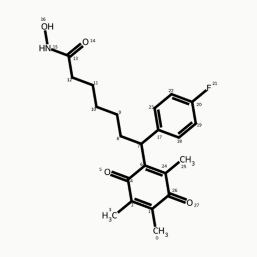 CC1=C(C)C(=O)C(C(CCCCCC(=O)NO)c2ccc(F)cc2)=C(C)C1=O